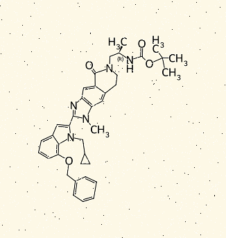 C[C@H](CN1CCc2cc3c(cc2C1=O)nc(-c1cc2cccc(OCc4ccccc4)c2n1CC1CC1)n3C)NC(=O)OC(C)(C)C